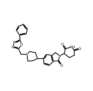 O=C1CCC(N2Cc3cc(C4CCN(Cc5nnc(-c6ccccc6)o5)CC4)ccc3C2=O)C(=O)N1